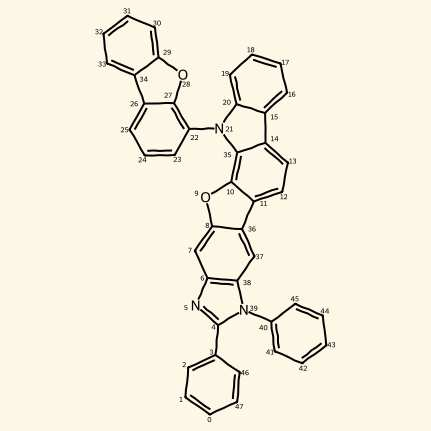 c1ccc(-c2nc3cc4oc5c(ccc6c7ccccc7n(-c7cccc8c7oc7ccccc78)c65)c4cc3n2-c2ccccc2)cc1